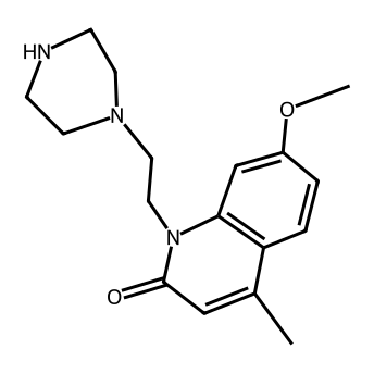 COc1ccc2c(C)cc(=O)n(CCN3CCNCC3)c2c1